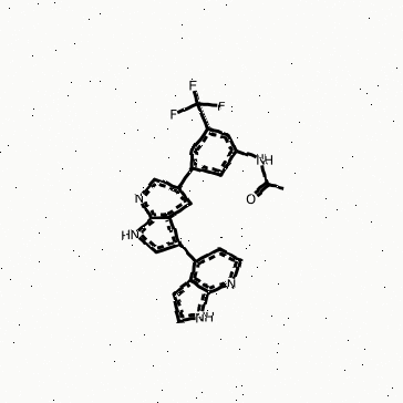 CC(=O)Nc1cc(-c2cnc3[nH]cc(-c4ccnc5[nH]ccc45)c3c2)cc(C(F)(F)F)c1